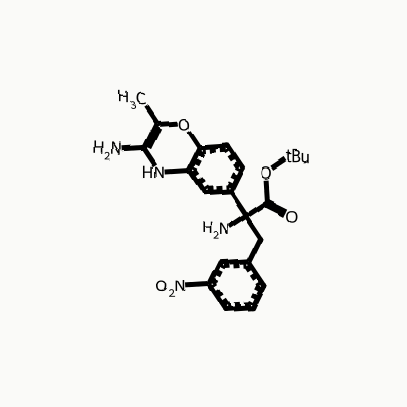 CC1=C(N)Nc2cc(C(N)(Cc3cccc([N+](=O)[O-])c3)C(=O)OC(C)(C)C)ccc2O1